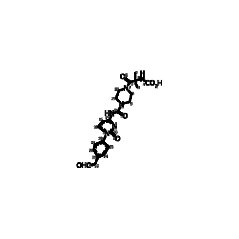 CC(C)(NC(=O)O)C(=O)N1CCN(C(=O)Nc2ccn(-c3ccc(CC=O)cc3)c(=O)n2)CC1